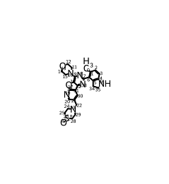 Cc1ccc2c(c1-c1nc(N3CCOCC3)c3oc4ncc(CN5CC[S+]([O-])CC5)cc4c3n1)CCN2